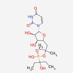 CCC(O)(CC)P(=O)(O)OC(C)(C)CC1O[C@@H](n2ccc(=O)[nH]c2=O)[C@H](O)[C@@H]1O